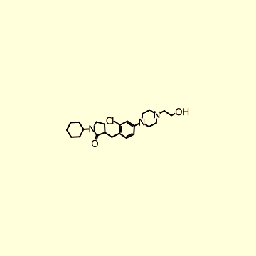 O=C1C(Cc2ccc(N3CCN(CCO)CC3)cc2Cl)CCN1C1CCCCC1